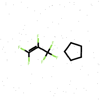 C1CCCC1.FC(F)=C(F)C(F)(F)F